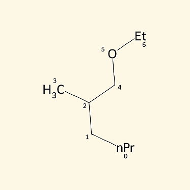 CCCCC(C)COCC